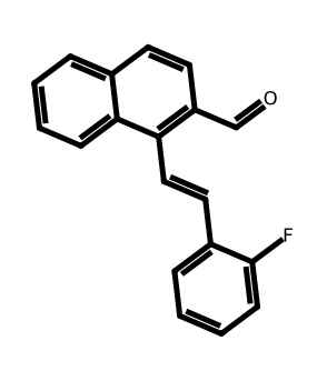 O=Cc1ccc2ccccc2c1C=Cc1ccccc1F